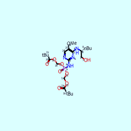 CCCC[C@H](CO)Nc1nc(NP(=O)(OCOC(=O)C(C)(C)C)OCOC(=O)C(C)(C)C)ncc1OC